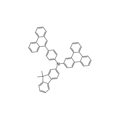 CC1(C)c2ccccc2-c2ccc(N(c3ccc(-c4cc5ccccc5c5ccccc45)cc3)c3ccc4c5ccccc5c5ccccc5c4c3)cc21